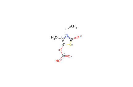 CCn1c(C)c(OC(=O)O)sc1=O